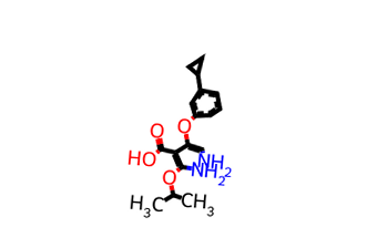 CC(C)O/C(N)=C(C(=O)O)/C(=C\N)Oc1cccc(C2CC2)c1